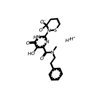 CN(CCc1ccccc1)C(=O)c1nc(N2SCCCC2([O-])[O-])[nH]c(=O)c1O.[H+].[H+]